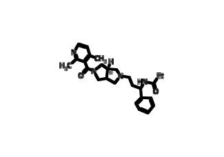 CCC(=O)NC(CCN1CC2CN(C(=O)c3c(C)ccnc3C)C[C@@H]2C1)c1ccccc1